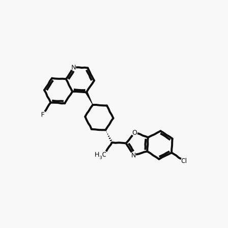 CC(c1nc2cc(Cl)ccc2o1)[C@H]1CC[C@H](c2ccnc3ccc(F)cc32)CC1